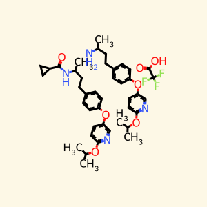 CC(CCc1ccc(Oc2ccc(OC(C)C)nc2)cc1)NC(=O)C1CC1.CC(N)CCc1ccc(Oc2ccc(OC(C)C)nc2)cc1.O=C(O)C(F)(F)F